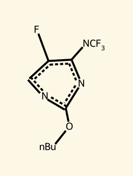 CCCCOc1ncc(F)c(NC(F)(F)F)n1